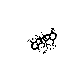 Cc1ccc(C)c2c1C=C(C(C)(C)C)[CH]2[Hf]([Cl])([Cl])([CH]1C(C(C)(C)C)=Cc2c(C)ccc(C)c21)[SiH](C)C